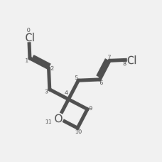 ClC=CCC1(CC=CCl)CCO1